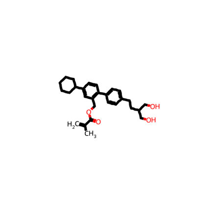 C=C(C)C(=O)OCc1cc(C2CCCCC2)ccc1-c1ccc(CCC(CO)CO)cc1